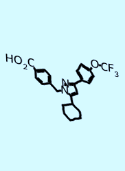 O=C(O)c1ccc(Cn2nc(-c3ccc(OC(F)(F)F)cc3)cc2C2CCCCC2)cc1